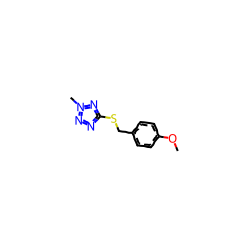 COc1ccc(CSc2nnn(C)n2)cc1